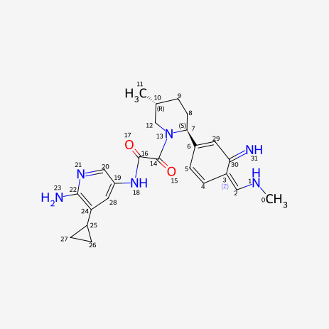 CN/C=C1/C=CC([C@@H]2CC[C@@H](C)CN2C(=O)C(=O)Nc2cnc(N)c(C3CC3)c2)=CC1=N